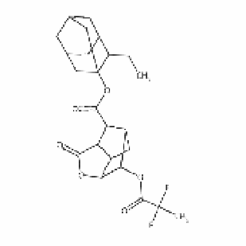 CCC1C2CC3CC(C2)CC1(OC(=O)C1C2CC4C(OC(=O)C41)C2OC(=O)C(C)(F)F)C3